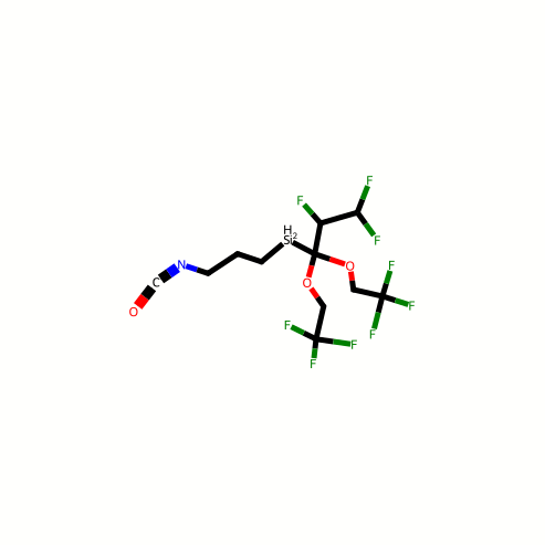 O=C=NCCC[SiH2]C(OCC(F)(F)F)(OCC(F)(F)F)C(F)C(F)F